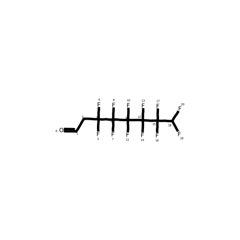 O=CCC(F)(F)C(F)(F)C(F)(F)C(F)(F)C(F)(F)[C](F)F